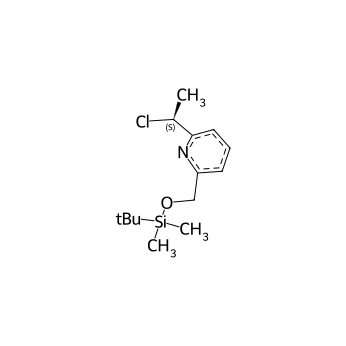 C[C@H](Cl)c1cccc(CO[Si](C)(C)C(C)(C)C)n1